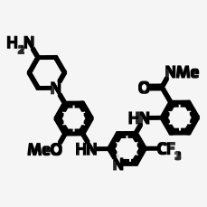 CNC(=O)c1ccccc1Nc1cc(Nc2ccc(N3CCC(N)CC3)cc2OC)ncc1C(F)(F)F